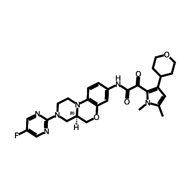 Cc1cc(C2CCOCC2)c(C(=O)C(=O)Nc2ccc3c(c2)OC[C@H]2CN(c4ncc(F)cn4)CCN32)n1C